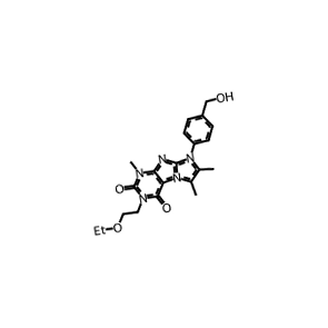 CCOCCn1c(=O)c2c(nc3n(-c4ccc(CO)cc4)c(C)c(C)n23)n(C)c1=O